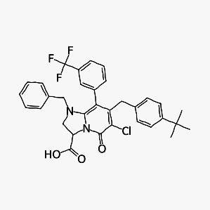 CC(C)(C)c1ccc(Cc2c(-c3cccc(C(F)(F)F)c3)c3n(c(=O)c2Cl)C(C(=O)O)CN3Cc2ccccc2)cc1